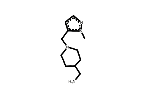 Cn1nccc1CN1CCC(CN)CC1